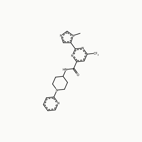 Cn1cncc1-c1nc(C(=O)NC2CCN(c3ccccn3)CC2)cc(C(F)(F)F)n1